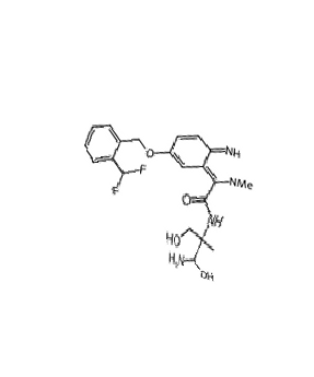 CN/C(C(=O)NC(C)(CO)C(N)O)=C1/C=C(OCc2ccccc2C(F)F)C=CC1=N